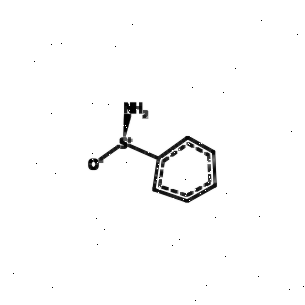 N[S@+]([O-])c1ccccc1